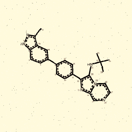 Cc1n[nH]c2ccc(-c3ccc(-c4nc5cnccn5c4NC(C)(C)C)cc3)cc12